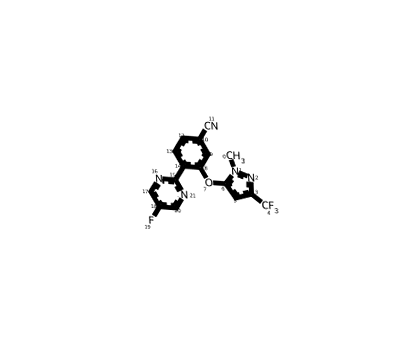 Cn1nc(C(F)(F)F)cc1Oc1cc(C#N)ccc1-c1ncc(F)cn1